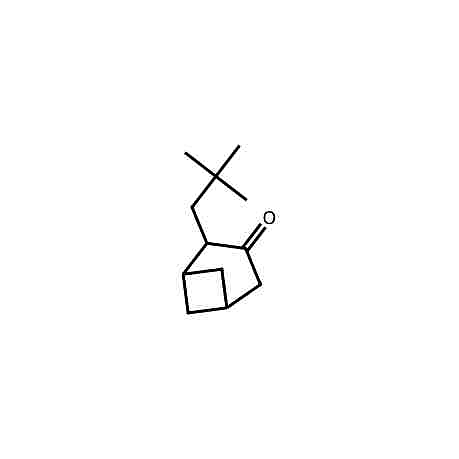 CC(C)(C)CC1C(=O)CC2CC1C2